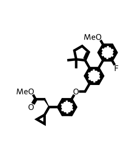 COC(=O)C[C@@H](c1cccc(OCc2ccc(-c3cc(OC)ccc3F)c(C3=CCCC3(C)C)c2)c1)C1CC1